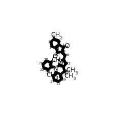 Cc1ccc2c(c1)C(=O)/C(=C/c1cc3c(s1)N(c1c(C)cccc1C)c1ccccc1C3(C)C)C2=O